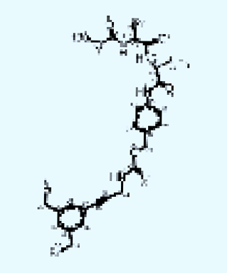 CC(C)[C@H](NC(=O)OC(C)(C)C)C(=O)N[C@@H](C)C(=O)Nc1ccc(COC(=O)NCC#Cc2cc(CBr)cc(CBr)c2)cc1